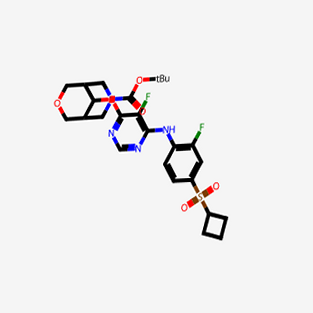 CC(C)(C)OC(=O)N1CC2COCC(C1)C2Oc1ncnc(Nc2ccc(S(=O)(=O)C3CCC3)cc2F)c1F